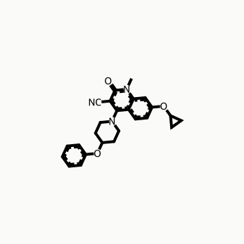 Cn1c(=O)c(C#N)c(N2CCC(Oc3ccccc3)CC2)c2ccc(OC3CC3)cc21